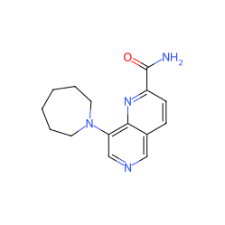 NC(=O)c1ccc2cncc(N3CCCCCC3)c2n1